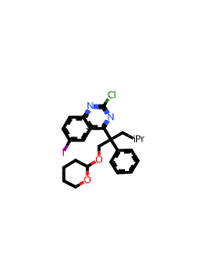 CC(C)CC(COC1CCCCO1)(c1ccccc1)c1nc(Cl)nc2ccc(I)cc12